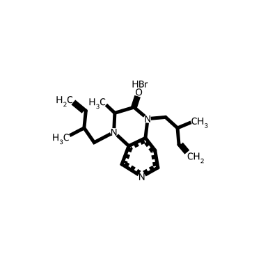 Br.C=CC(C)CN1C(=O)C(C)N(CC(C)C=C)c2cnccc21